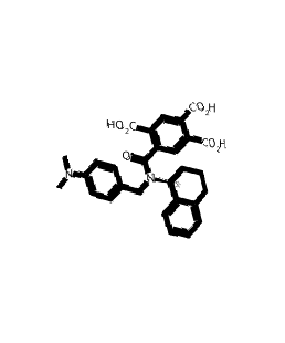 CN(C)c1ccc(CN(C(=O)c2cc(C(=O)O)c(C(=O)O)cc2C(=O)O)[C@H]2CCCc3ccccc32)cc1